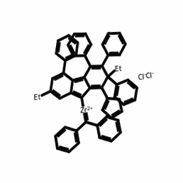 CCc1cc(-c2ccccc2)c2c(c1)=[C]([Zr+2]=[C](c1ccccc1)c1ccccc1)C1=C(C3=CC=CC3)C(CC)(c3ccccc3)C(c3ccccc3)=C(c3ccccc3)C=21.[Cl-].[Cl-]